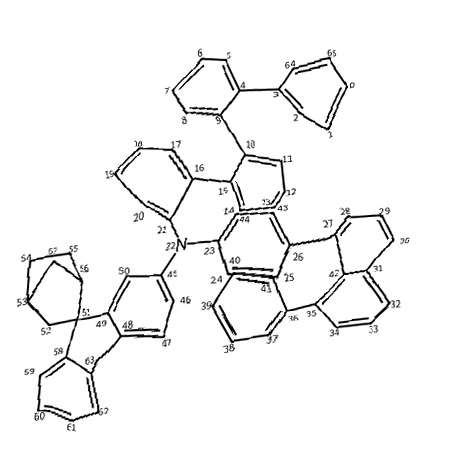 c1ccc(-c2ccccc2-c2ccccc2-c2ccccc2N(c2ccc(-c3cccc4cccc(-c5ccccc5)c34)cc2)c2ccc3c(c2)C2(CC4CCC2C4)c2ccccc2-3)cc1